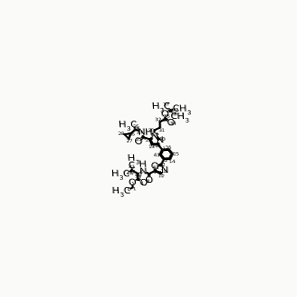 CCOC(=O)[C@@H](NC(=O)c1cnc(-c2cccc(-c3cc(C(=O)N[C@@H](C)C4CC4)n(CCCC(=O)OC(C)(C)C)n3)c2)o1)C(C)C